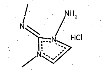 CN=c1n(C)ccn1N.Cl